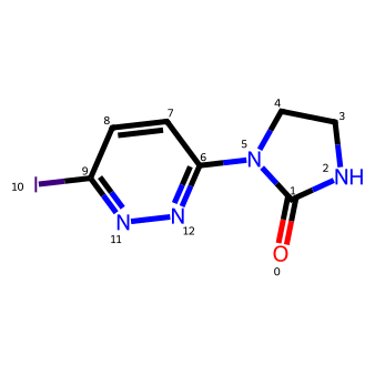 O=C1NCCN1c1ccc(I)nn1